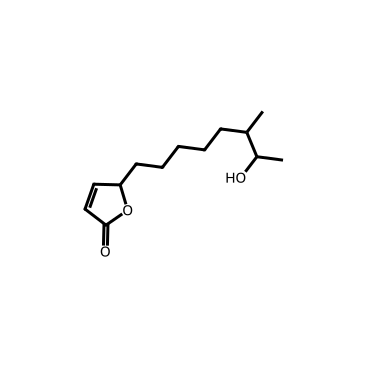 CC(O)C(C)CCCCCC1C=CC(=O)O1